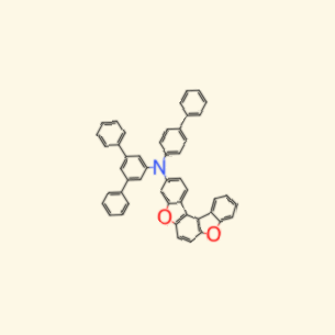 c1ccc(-c2ccc(N(c3cc(-c4ccccc4)cc(-c4ccccc4)c3)c3ccc4c(c3)oc3ccc5oc6ccccc6c5c34)cc2)cc1